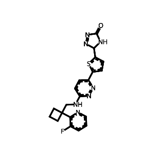 O=C1N=NC(c2ccc(-c3ccc(NCC4(c5ncccc5F)CCC4)nn3)s2)N1